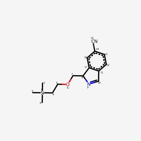 C[Si](C)(C)CCOCC1N=Cc2ccc(C#N)cc21